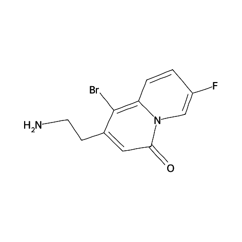 NCCc1cc(=O)n2cc(F)ccc2c1Br